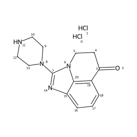 Cl.Cl.O=C1CCn2c(N3CCNCC3)nc3cccc1c32